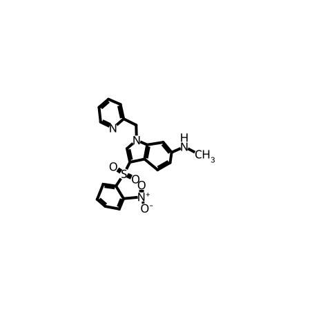 CNc1ccc2c(S(=O)(=O)c3ccccc3[N+](=O)[O-])cn(Cc3ccccn3)c2c1